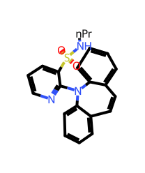 CCCNS(=O)(=O)c1cccnc1N1c2ccccc2C=Cc2ccccc21